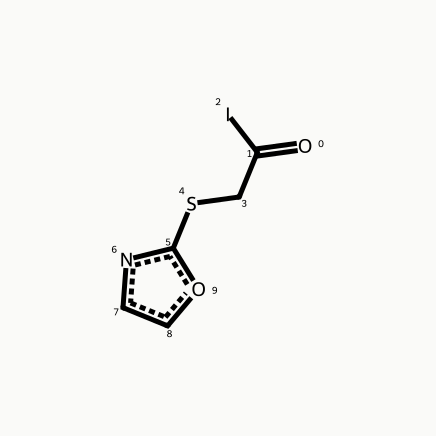 O=C(I)CSc1ncco1